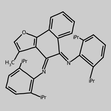 Cc1coc2c1C(=N\c1c(C(C)C)cccc1C(C)C)/C(=N/c1c(C(C)C)cccc1C(C)C)c1ccccc1-2